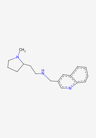 CN1CCCC1CCNCc1cnc2ccccc2c1